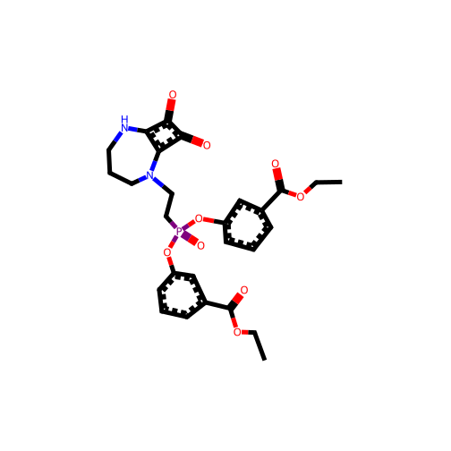 CCOC(=O)c1cccc(OP(=O)(CCN2CCCNc3c2c(=O)c3=O)Oc2cccc(C(=O)OCC)c2)c1